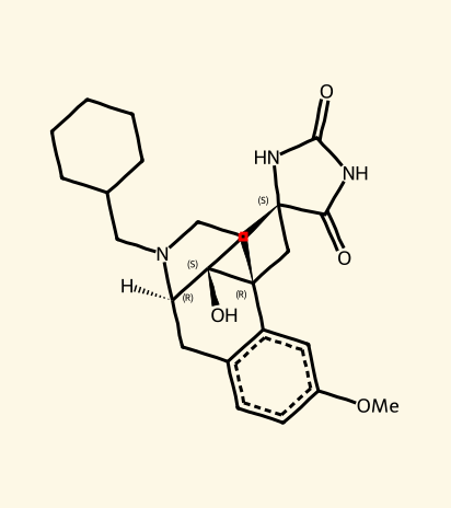 COc1ccc2c(c1)[C@]13CCN(CC4CCCCC4)[C@H](C2)[C@]1(O)CC[C@@]1(C3)NC(=O)NC1=O